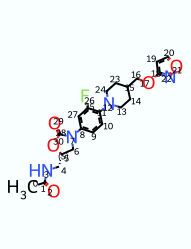 CC(=O)NC[C@H]1CN(c2ccc(N3CCC(COc4ccon4)CC3)c(F)c2)C(=O)O1